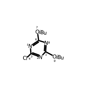 CC(C)COc1nc(Cl)nc(OCC(C)C)n1